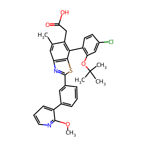 COc1ncccc1-c1cccc(-c2nc3cc(C)c(CC(=O)O)c(-c4ccc(Cl)cc4OC(C)(C)C)c3s2)c1